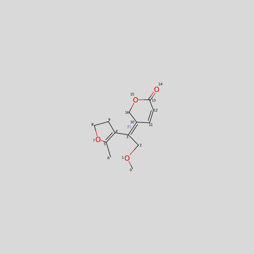 COC/C(C1=C(C)OCC1)=C1\C=CC(=O)OC1